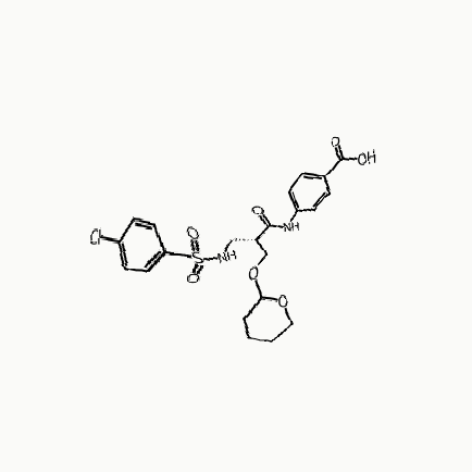 O=C(O)c1ccc(NC(=O)[C@@H](CNS(=O)(=O)c2ccc(Cl)cc2)COC2CCCCO2)cc1